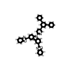 c1ccc(-c2cc(-c3ccccc3)cc(-c3ccc(-n4c5ccc(-c6nc7ccccc7o6)cc5c5cc(-c6nc7ccccc7o6)ccc54)nc3)c2)cc1